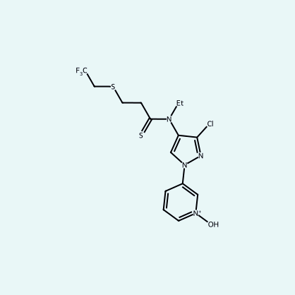 CCN(C(=S)CCSCC(F)(F)F)c1cn(-c2ccc[n+](O)c2)nc1Cl